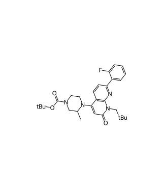 CC1CN(C(=O)OC(C)(C)C)CCN1c1cc(=O)n(CC(C)(C)C)c2nc(-c3ccccc3F)ccc12